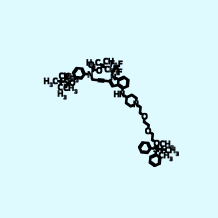 CC(C)(C)OC(=O)N(CC#Cc1cc2c(NC3CCN(CCOCCOCCO[Si](c4ccccc4)(c4ccccc4)C(C)(C)C)CC3)cccc2n1CC(F)(F)F)c1cccc(O[Si](C)(C)C(C)(C)C)c1